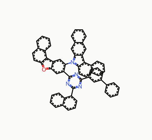 c1ccc(-c2cccc(-c3nc(-c4cc5oc6ccc7ccccc7c6c5cc4-n4c5cc6ccccc6cc5c5c6ccccc6ccc54)nc(-c4cccc5ccccc45)n3)c2)cc1